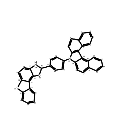 c1ccc2c(c1)ccc1c2c2c3ccccc3ccc2n1-c1ccc(C2Nc3ccc4sc5ccccc5c4c3O2)cc1